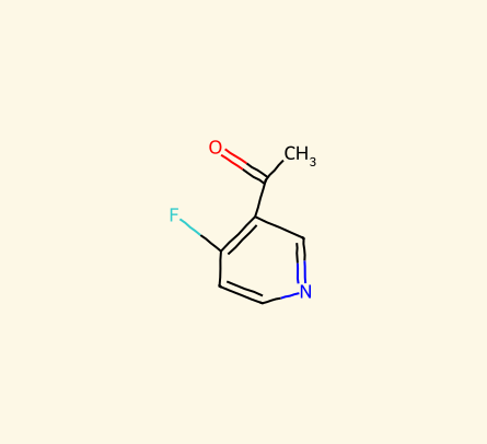 CC(=O)c1cnccc1F